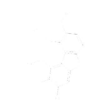 CCCCCCCCOc1ccc2oc3cc(C)c(C)c(OCCCCCCCC)c3c2c1OCCCCCCCC